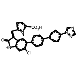 Cn1c(C=C2C(=O)Nc3cc(Cl)c(-c4ccc(-c5ccc(-n6cncn6)cc5)cc4)cc32)ccc1C(=O)O